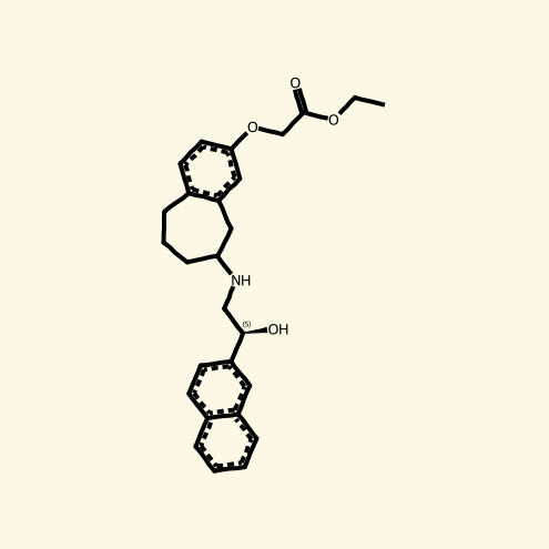 CCOC(=O)COc1ccc2c(c1)CC(NC[C@@H](O)c1ccc3ccccc3c1)CCC2